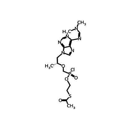 CC(=O)SCCOP(=O)(Cl)CO[C@H](C)Cn1cnc2c(/N=C\N(C)C)ncnc21